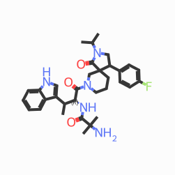 CC(c1c[nH]c2ccccc12)[C@@H](NC(=O)C(C)(C)N)C(=O)N1CCCC2(C1)C(=O)N(C(C)C)CC2c1ccc(F)cc1